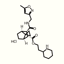 Cc1cc(CNC(=O)[C@H]2[C@H](C(=O)OCCC3CCCCN3)[C@H]3CC[C@@H]2C32CC2)no1.Cl